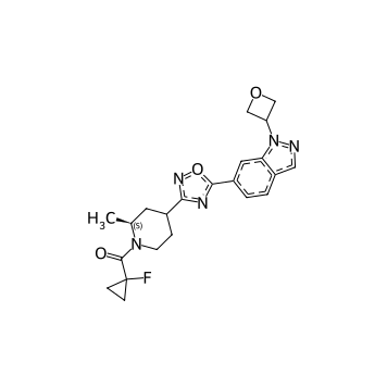 C[C@H]1CC(c2noc(-c3ccc4cnn(C5COC5)c4c3)n2)CCN1C(=O)C1(F)CC1